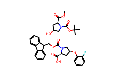 COC(=O)[C@@H]1C[C@H](O)CN1C(=O)OC(C)(C)C.O=C(O)[C@@H]1C[C@@H](Oc2ccccc2F)CN1C(=O)OCC1c2ccccc2-c2ccccc21